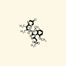 COc1cccc(OC)c1-n1c(CS(C)(=O)=O)nnc1NS(=O)(=O)[C@@H](C)[C@H](C)c1ncc(Cl)cn1